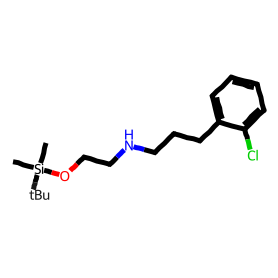 CC(C)(C)[Si](C)(C)OCCNCCCc1ccccc1Cl